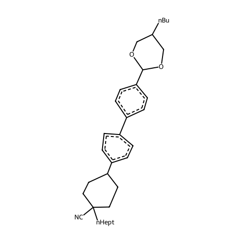 CCCCCCCC1(C#N)CCC(c2ccc(-c3ccc(C4OCC(CCCC)CO4)cc3)cc2)CC1